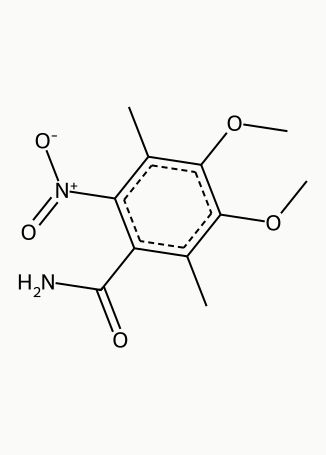 COc1c(C)c(C(N)=O)c([N+](=O)[O-])c(C)c1OC